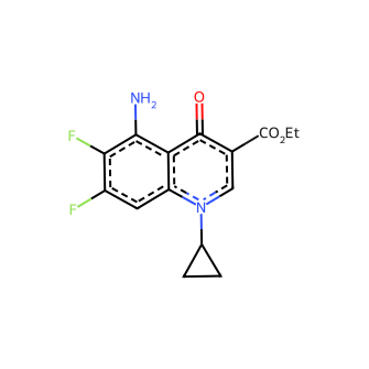 CCOC(=O)c1cn(C2CC2)c2cc(F)c(F)c(N)c2c1=O